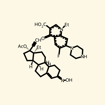 C#C[C@]1(OC(C)=O)CC[C@H]2[C@@H]3CCC4=C/C(=N/O)CC[C@@H]4[C@H]3CC[C@@]21CC.CCn1cc(C(=O)O)c(=O)c2cc(F)c(N3CCNCC3)cc21